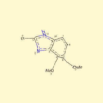 CCc1nc2c(OC)c(OC)ccc2[nH]1